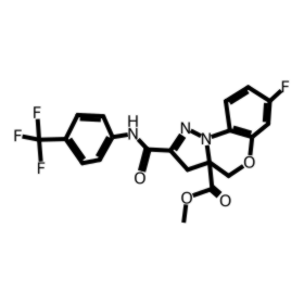 COC(=O)C12COc3cc(F)ccc3N1N=C(C(=O)Nc1ccc(C(F)(F)F)cc1)C2